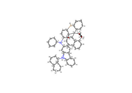 c1ccc(N(c2ccc3c(c2)C2(c4ccccc4S3)c3ccccc3-c3cccc4cccc2c34)c2ccc3c4ccccc4n(-c4cccc5ccccc45)c3c2)cc1